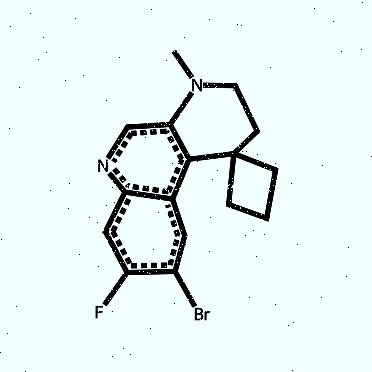 CN1CCC2(CCC2)c2c1cnc1cc(F)c(Br)cc21